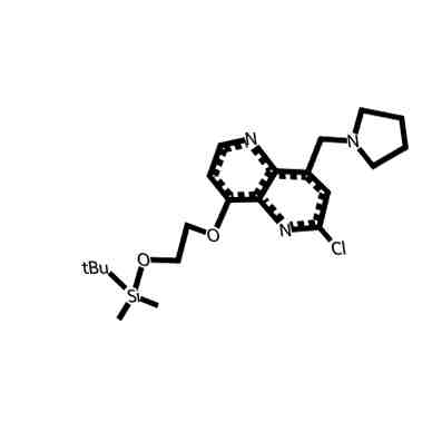 CC(C)(C)[Si](C)(C)OCCOc1ccnc2c(CN3CCCC3)cc(Cl)nc12